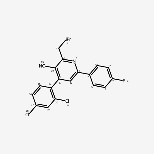 CC(C)Cc1nc(-c2ccc(F)cc2)cc(-c2ccc(Cl)cc2Cl)c1C#N